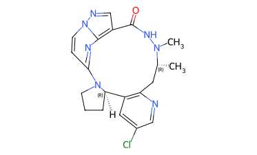 C[C@@H]1Cc2ncc(Cl)cc2[C@H]2CCCN2c2ccn3ncc(c3n2)C(=O)NN1C